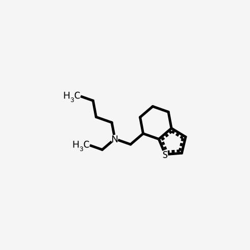 CCCCN(CC)CC1CCCc2ccsc21